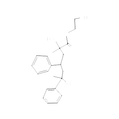 CC(I)(CC(CC(C)(C)c1ccccc1)c1ccccc1)C(=O)OCCO